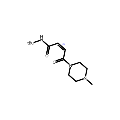 CN1CCN(C(=O)/C=C\C(=O)NC(C)(C)C)CC1